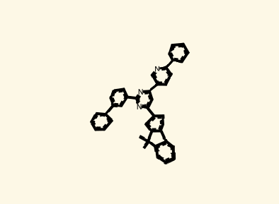 CC1(C)c2ccccc2-c2ccc(-c3cc(-c4ccc(-c5ccccc5)nc4)nc(-c4cccc(-c5ccccc5)c4)n3)cc21